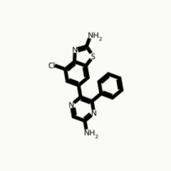 Nc1cnc(-c2cc(Cl)c3nc(N)sc3c2)c(-c2ccccc2)n1